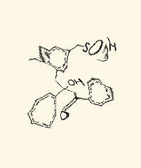 Cc1ccc(S(=O)(=O)O)cc1CC(O)(C(=O)c1ccccc1)c1ccccc1